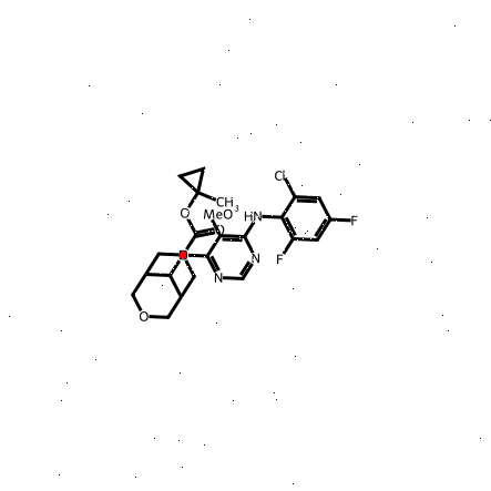 COc1c(Nc2c(F)cc(F)cc2Cl)ncnc1OC1C2COCC1CN(C(=O)OC1(C)CC1)C2